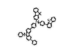 CC1(C)c2ccccc2-c2ccc(N(c3ccc(-c4ccc5c(c4)c4cc(-c6ccccc6)ccc4n5-c4ccccc4)cc3)c3ccc(-c4cccc5c4sc4ccccc45)cc3)cc21